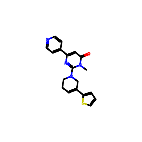 Cn1c(N2CCC=C(c3cccs3)C2)nc(-c2ccncc2)cc1=O